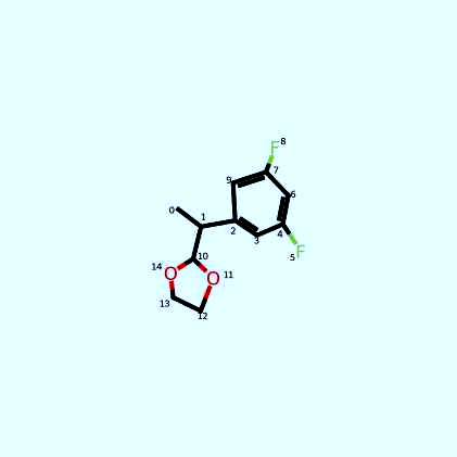 CC(c1cc(F)cc(F)c1)C1OCCO1